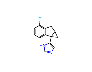 Fc1cccc2c1CC1CC21c1cnc[nH]1